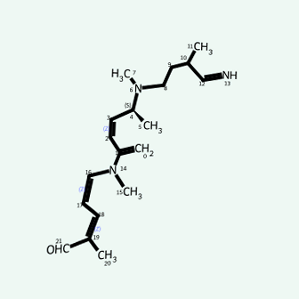 C=C(/C=C\[C@H](C)N(C)CCC(C)C=N)N(C)/C=C\C=C(\C)C=O